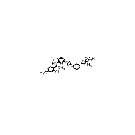 Cc1ccc([C@@H](C)Nc2nc(N3CC([C@H]4CCCN([C@H]5C[C@](C)(C(=O)O)C5)C4)C3)ncc2C(F)(F)F)c(Cl)c1